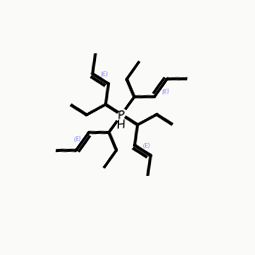 C/C=C/C(CC)[PH](C(/C=C/C)CC)(C(/C=C/C)CC)C(/C=C/C)CC